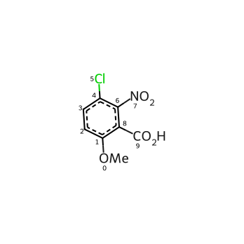 COc1ccc(Cl)c([N+](=O)[O-])c1C(=O)O